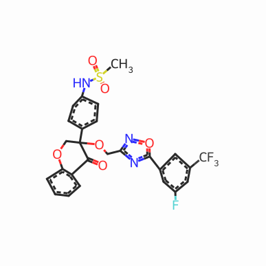 CS(=O)(=O)Nc1ccc(C2(OCc3noc(-c4cc(F)cc(C(F)(F)F)c4)n3)COc3ccccc3C2=O)cc1